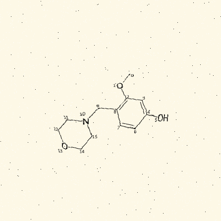 COc1cc(O)ccc1CN1CCOCC1